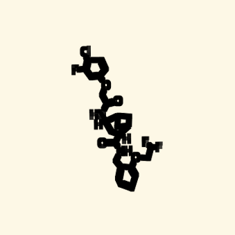 O=C(COc1ccc(Cl)c(F)c1)N[C@H]1C[C@@H](C(=O)NCc2ccccc2OCC(F)F)C2CC1C2